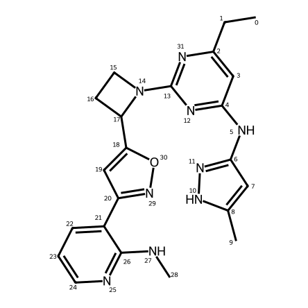 CCc1cc(Nc2cc(C)[nH]n2)nc(N2CCC2c2cc(-c3cccnc3NC)no2)n1